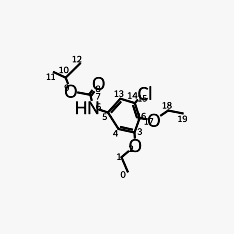 CCOc1cc(NC(=O)OC(C)C)cc(Cl)c1OCC